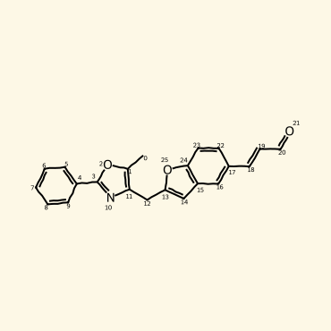 Cc1oc(-c2ccccc2)nc1Cc1cc2cc(/C=C/C=O)ccc2o1